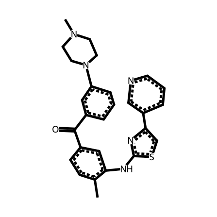 Cc1ccc(C(=O)c2cccc(N3CCN(C)CC3)c2)cc1Nc1nc(-c2cccnc2)cs1